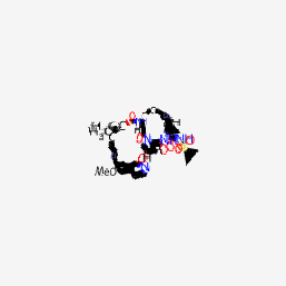 COc1cc2ccnc3c2cc1/C=C/CCC(C)(C)COC(=O)N[C@H]1CCCCC/C=C\[C@@H]2C[C@@]2(C(=O)NS(=O)(=O)C2CC2)NC(=O)[C@@H]2C[C@H](CN2C1=O)O3